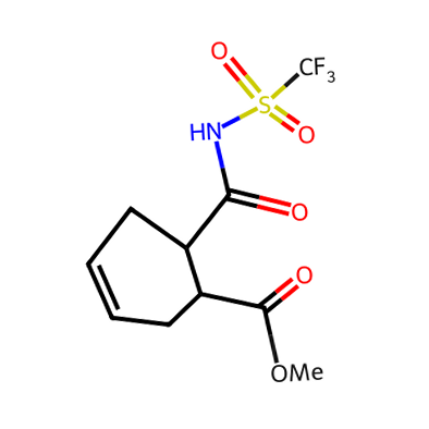 COC(=O)C1CC=CCC1C(=O)NS(=O)(=O)C(F)(F)F